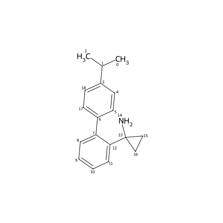 CC(C)c1ccc(-c2ccccc2C2(N)CC2)cc1